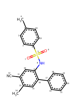 Cc1ccc(S(=O)(=O)Nc2cc(C#N)c(C)cc2-c2ccccc2)cc1